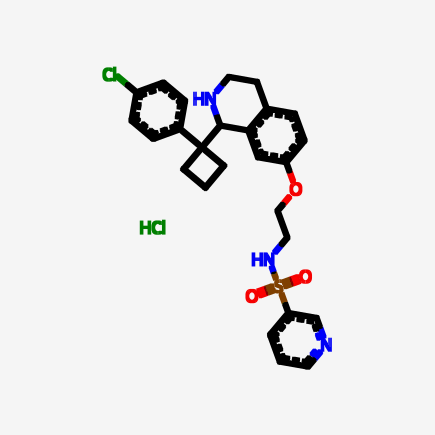 Cl.O=S(=O)(NCCOc1ccc2c(c1)C(C1(c3ccc(Cl)cc3)CCC1)NCC2)c1cccnc1